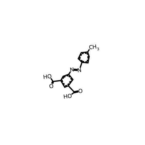 Cc1ccc(N=Nc2cc(C(=O)O)cc(C(=O)O)c2)cc1